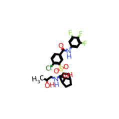 CC(O)CNC[C@]1(O)C2CCC1C[C@@H](S(=O)(=O)c1cc(C(=O)Nc3cc(F)c(F)c(F)c3)ccc1Cl)C2